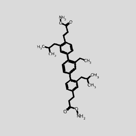 CCc1cc(-c2ccc(CCC(=O)ON)cc2CC(C)C)ccc1-c1ccc(CCC(=O)ON)c(CC(C)C)c1